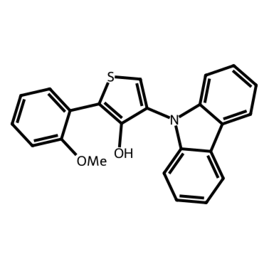 COc1ccccc1-c1scc(-n2c3ccccc3c3ccccc32)c1O